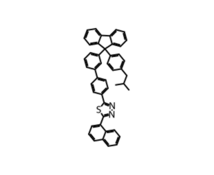 CC(C)Cc1ccc(C2(c3cccc(-c4ccc(-c5nnc(-c6cccc7ccccc67)s5)cc4)c3)c3ccccc3-c3ccccc32)cc1